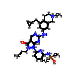 C=CCn1c(=O)c2cnc(Nc3cc(CC4CC4)c4c(c3)CN(C)CC4)nc2n1-c1cccc(N=S(C)(C)=O)n1